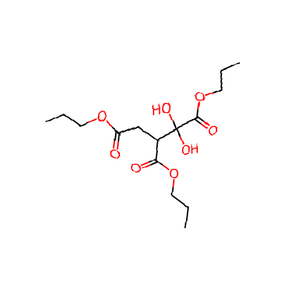 CCCOC(=O)CC(C(=O)OCCC)C(O)(O)C(=O)OCCC